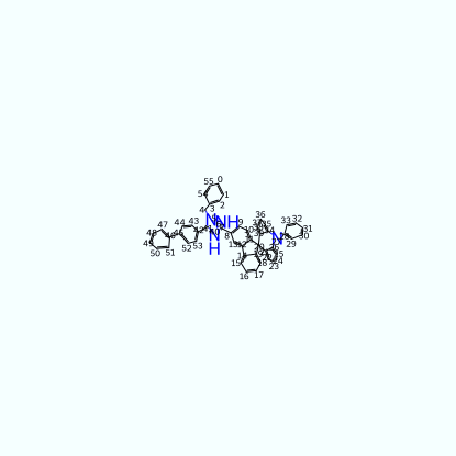 c1ccc(CN2NC(c3ccc4c(c3)-c3ccccc3C43c4ccccc4N(c4ccccc4)c4ccccc43)NC2c2ccc(-c3ccccc3)cc2)cc1